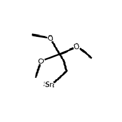 COC([CH2][Sn])(OC)OC